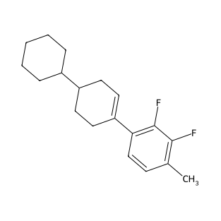 Cc1ccc(C2=CCC(C3CCCCC3)CC2)c(F)c1F